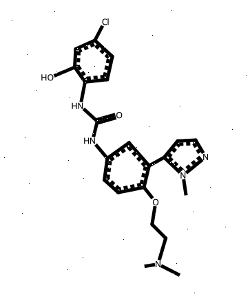 CN(C)CCOc1ccc(NC(=O)Nc2ccc(Cl)cc2O)cc1-c1ccnn1C